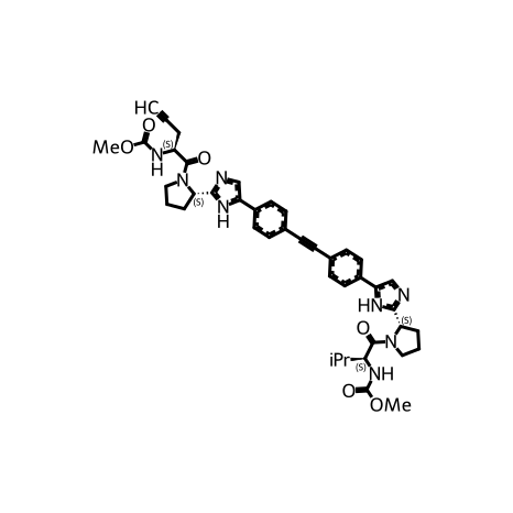 C#CC[C@H](NC(=O)OC)C(=O)N1CCC[C@H]1c1ncc(-c2ccc(C#Cc3ccc(-c4cnc([C@@H]5CCCN5C(=O)[C@@H](NC(=O)OC)C(C)C)[nH]4)cc3)cc2)[nH]1